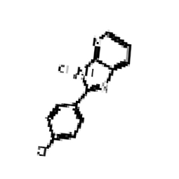 C.Clc1ccc(-c2nc3cccnc3[nH]2)cc1